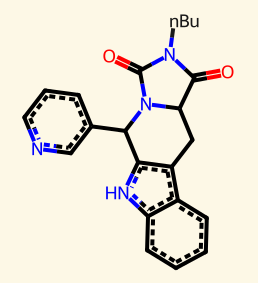 CCCCN1C(=O)C2Cc3c([nH]c4ccccc34)C(c3cccnc3)N2C1=O